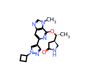 C[C@@H](Oc1nc(-c2cnn(C3CCC3)c2)cc2ncn(C)c12)[C@H]1CNC(=O)C1